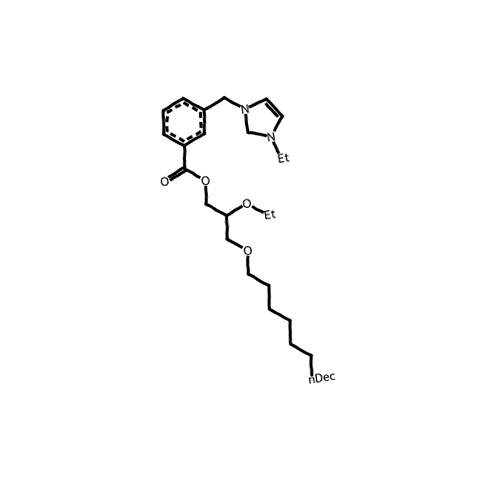 CCCCCCCCCCCCCCCCOCC(COC(=O)c1cccc(CN2C=CN(CC)C2)c1)OCC